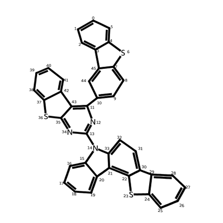 c1ccc2c(c1)sc1ccc(-c3nc(-n4c5ccccc5c5c6sc7ccccc7c6ccc54)nc4sc5ccccc5c34)cc12